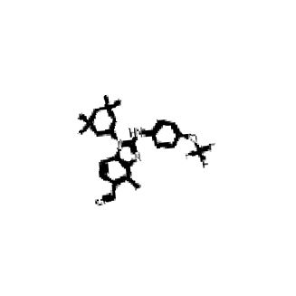 Cc1c(C=O)ccc2c1nc(Nc1ccc(OC(F)(F)F)cc1)n2C1CC(C)(C)CC(C)(C)C1